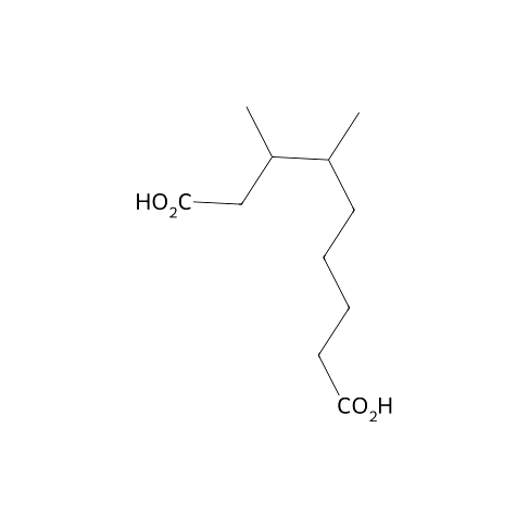 CC(CCCCC(=O)O)C(C)CC(=O)O